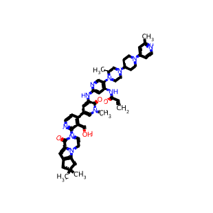 C=CC(=O)Nc1cc(Nc2cc(-c3ccnc(N4CCn5c(cc6c5CC(C)(C)C6)C4=O)c3CO)cn(C)c2=O)ncc1N1CCN(C2CCN(c3ccnc(C)c3)CC2)C[C@@H]1C